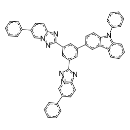 c1ccc(-c2ccc3nc(-c4cc(-c5ccc6c(c5)c5ccccc5n6-c5ccccc5)cc(-c5nc6ccc(-c7ccccc7)cn6n5)c4)nn3c2)cc1